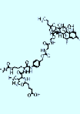 CCCC1O[C@@H]2C[C@H]3[C@@H]4C[C@H](F)C5=CC(=O)C=C[C@]5(C)[C@@]4(F)[C@@H](O)C[C@]3(C)[C@]2(C(=O)COCNC(=O)CNC(=O)OCc2ccc(NC(=O)[C@H](CCCNC(N)=O)NC(=O)[C@@H](NC(=O)CCCC(=O)O)C(C)C)cc2)O1